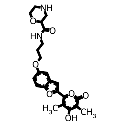 Cc1c(-c2cc3cc(OCCCNC(=O)C4CNCCO4)ccc3o2)oc(=O)c(C)c1O